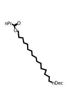 CCCCCCCCCCCCCCCCCCCCCCCCCCOC(=O)CCC